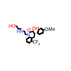 COc1ccc([C@@H]2Cc3c(cccc3C(F)(F)F)N(CCNCCCO)C(=O)[C@@H]2O)cc1